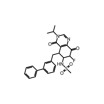 CC(C)n1cnc2c(c1=O)C(Cc1cccc(-c3ccccc3)c1)C(NS(C)(=O)=O)C(F)C2=O